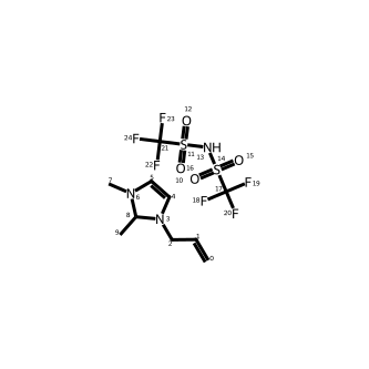 C=CCN1C=CN(C)C1C.O=S(=O)(NS(=O)(=O)C(F)(F)F)C(F)(F)F